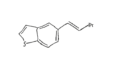 CC(C)C=Cc1ccc2sccc2c1